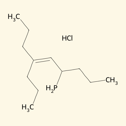 CCCC(=CC(P)CCC)CCC.Cl